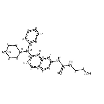 O=C(NCCO)Nc1ccc2cnc(N(c3ccccc3)N3CCNCC3)nc2n1